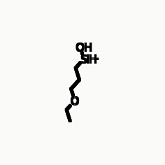 CCOCCC[SiH]O